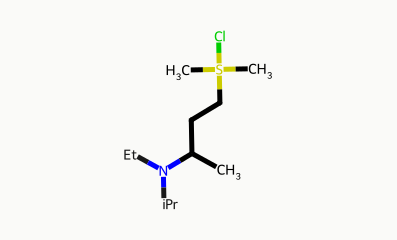 CCN(C(C)C)C(C)CCS(C)(C)Cl